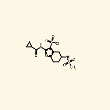 CS(=O)(=O)NC1CCc2sc(NC(=O)C3CC3)c(S(=O)(=O)Cl)c2C1